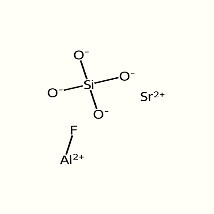 [F][Al+2].[O-][Si]([O-])([O-])[O-].[Sr+2]